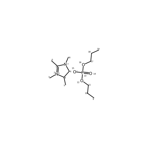 CC1=[N+](C)C(C)CN1C.CCCOP(=O)([O-])OCCC